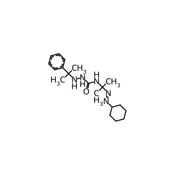 CC(C)(N=NC1CCCCC1)NC(=O)NNC(C)(C)c1ccccc1